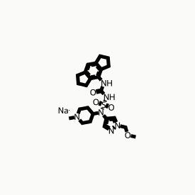 COCn1cc(N(C2CCN(C)CC2)S(=O)(=O)NC(=O)Nc2c3c(cc4c2CCC4)CCC3)cn1.[Na]